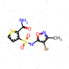 Cc1noc([N]S(=O)(=O)c2ccsc2C(N)=O)c1Br